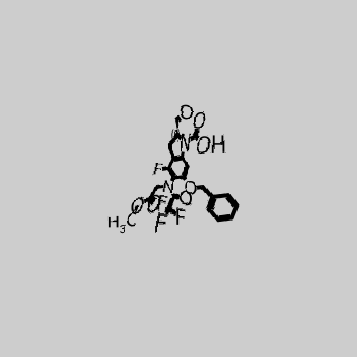 COC(=O)CN(C(=O)C(F)(F)F)c1c(OCc2ccccc2)cc2c(c1F)C[C@@H](C=O)N2C(=O)O